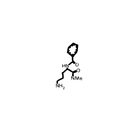 CNC(=O)C(CCCN)NC(=O)c1ccccc1